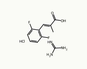 CC(=Cc1c(F)cccc1F)C(=O)O.Cl.N=C(N)N